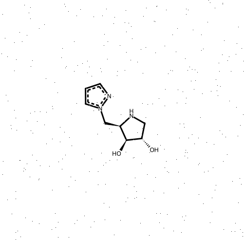 O[C@@H]1[C@@H](O)CN[C@@H]1Cn1cccn1